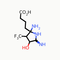 N=C1NC(N)(CCCC(=O)O)C(C(F)(F)F)C1O